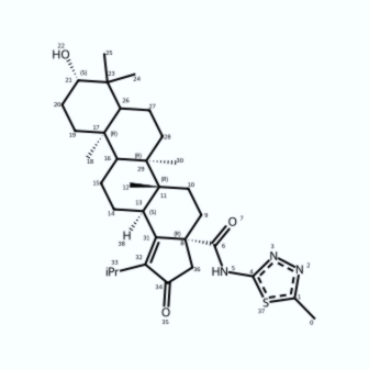 Cc1nnc(NC(=O)[C@@]23CC[C@]4(C)[C@H](CCC5[C@@]6(C)CC[C@H](O)C(C)(C)C6CC[C@]54C)C2=C(C(C)C)C(=O)C3)s1